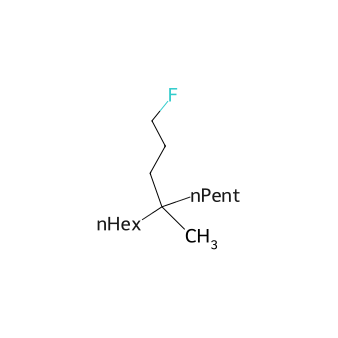 CCCCCCC(C)(CCCF)CCCCC